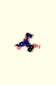 C=CC(=O)N1CCN(c2nc(OC[C@H]3CCCN3C(C)C)nc3c2CCN(c2cc(O)cc4ccccc24)C3)CC1